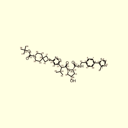 Cc1ncsc1-c1ccc(CNC(=O)[C@H]2C[C@H](O)CN2C(=O)C(c2cc(N3CC4(CCN(C(=O)OC(C)(C)C)CC4)C3)no2)C(C)C)cc1